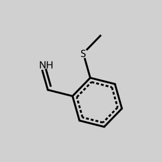 CSc1ccccc1C=N